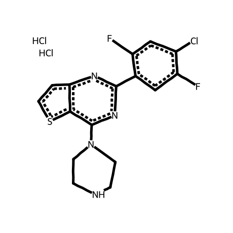 Cl.Cl.Fc1cc(-c2nc(N3CCNCC3)c3sccc3n2)c(F)cc1Cl